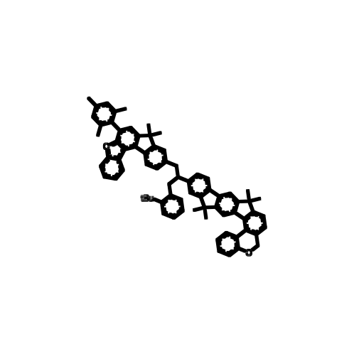 Cc1cc(C)c(-c2cc3c(c4c2oc2ccccc24)-c2ccc(CC(Cc4ccccc4C(C)(C)C)c4ccc5c(c4)C(C)(C)c4cc6c(cc4-5)C(C)(C)c4ccc5c(c4-6)-c4ccccc4OC5)cc2C3(C)C)c(C)c1